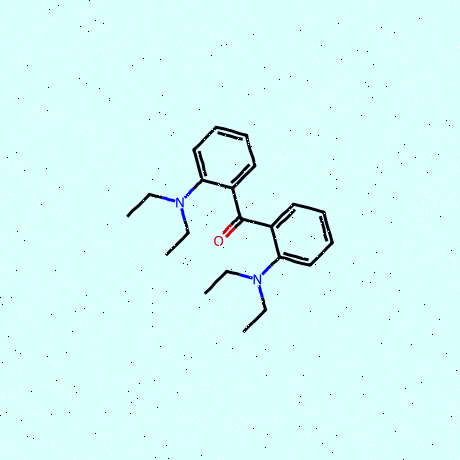 CCN(CC)c1ccccc1C(=O)c1ccccc1N(CC)CC